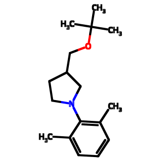 Cc1cccc(C)c1N1CCC(COC(C)(C)C)C1